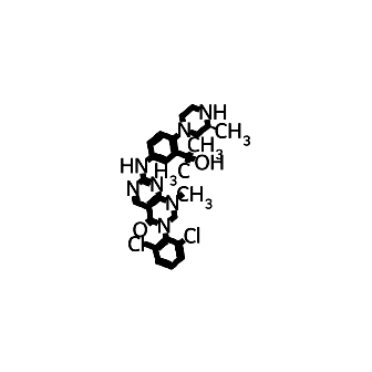 C[C@@H]1CN(c2ccc(Nc3ncc4c(n3)N(C)CN(c3c(Cl)cccc3Cl)C4=O)cc2C(C)(C)O)CCN1